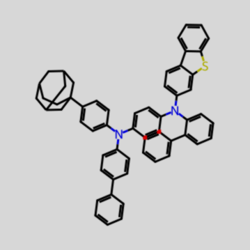 c1ccc(-c2ccc(N(c3ccc(N(c4ccc5c(c4)sc4ccccc45)c4ccccc4-c4ccccc4)cc3)c3ccc(C45CCC6CC(CC(C6)C4)C5)cc3)cc2)cc1